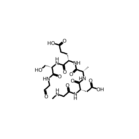 CNCC(=O)N[C@@H](CC(=O)O)C(=O)N[C@@H](C)C(=O)N[C@@H](CCC(=O)O)C(=O)N[C@@H](CO)C(=O)NCC=O